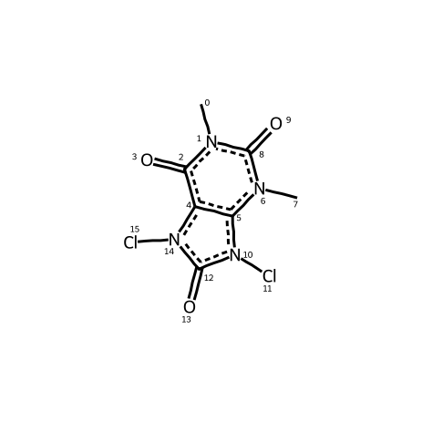 Cn1c(=O)c2c(n(C)c1=O)n(Cl)c(=O)n2Cl